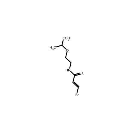 CC(OCCNC(=O)C=CBr)C(=O)O